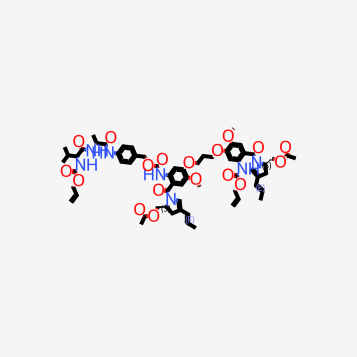 C=CCOC(=O)Nc1cc(OCCCOc2cc(NC(=O)OCc3ccc(NC(=O)C(C)NC(=O)C(NC(=O)OCC=C)C(C)C)cc3)c(C(=O)N3C=C(/C=C/C)C[C@H]3COC(C)=O)cc2OC)c(OC)cc1C(=O)N1C=C(/C=C/C)C[C@H]1COC(C)=O